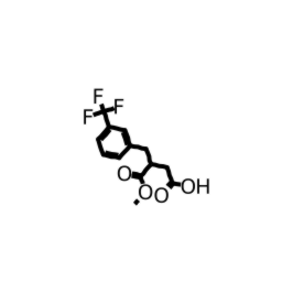 COC(=O)C(CC(=O)O)Cc1cccc(C(F)(F)F)c1